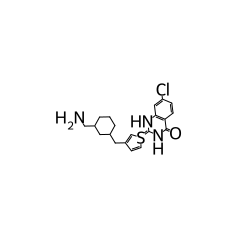 NCC1CCCC(CC2=CS(=c3[nH]c(=O)c4ccc(Cl)cc4[nH]3)C=C2)C1